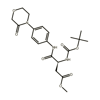 COC(=O)C[C@H](NC(=O)OC(C)(C)C)C(=O)Nc1ccc(N2CCOCC2=O)cc1